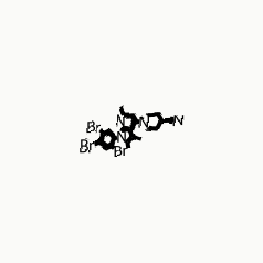 Cc1cc(N2CCC(C#N)CC2)c2c(C)c(C)n(-c3cc(Br)c(Br)cc3Br)c2n1